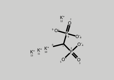 CC(P(=O)([O-])[O-])P(=O)([O-])[O-].[K+].[K+].[K+].[K+]